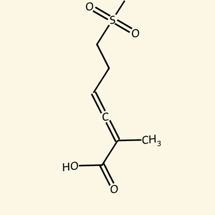 CC(=C=CCCS(=O)(=O)O)C(=O)O